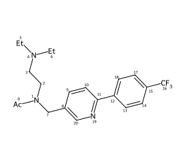 [CH2]C(=O)N(CCN(CC)CC)Cc1ccc(-c2ccc(C(F)(F)F)cc2)nc1